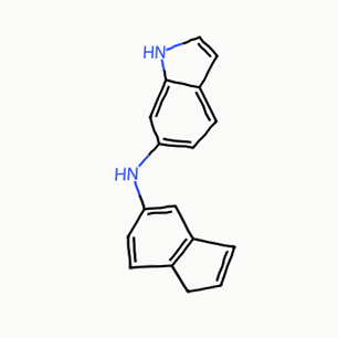 C1=Cc2cc(Nc3ccc4cc[nH]c4c3)ccc2C1